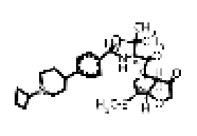 CS[C@H]1CN(C(=O)[C@@H](NC(=O)c2ccc(C3CCN(C4CCC4)CC3)cc2)C(C)(C)C)[C@@H]2C(=O)CO[C@H]12